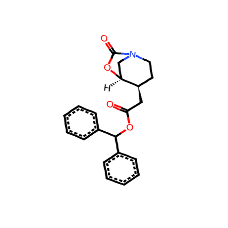 O=C(C[C@@H]1CCN2C[C@@H]1OC2=O)OC(c1ccccc1)c1ccccc1